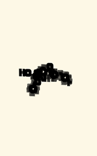 O=C(NC1CC(C(=O)N2CCC[C@@H](Cc3ccc(F)cc3)C2)CCN1C(=O)O)OCc1ccccc1